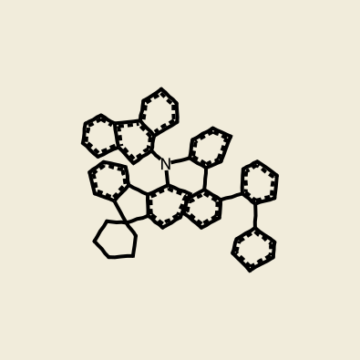 c1ccc(-c2ccccc2-c2ccccc2-c2ccccc2N(c2cccc3c2-c2ccccc2C32CCCCC2)c2cc3ccccc3c3ccccc23)cc1